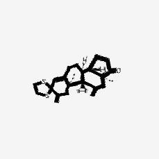 C=C1C[C@]2(C)C(=O)CC[C@H]2[C@@H]2CCC3=CC4(SCCS4)C(C)C[C@]3(C)[C@@H]12